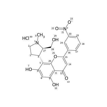 CN1CC[C@@H](c2c(O)cc(O)c3c(=O)cc(-c4cccc([N+](=O)[O-])c4)oc23)[C@@H]1CO.Cl